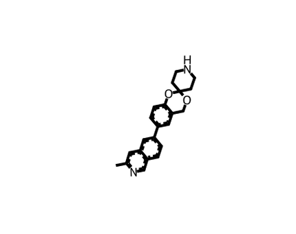 Cc1cc2cc(-c3ccc4c(c3)COC3(CCNCC3)O4)ccc2cn1